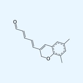 Cc1cc(C)c2c(c1)C=C(C=CC=CC=O)CO2